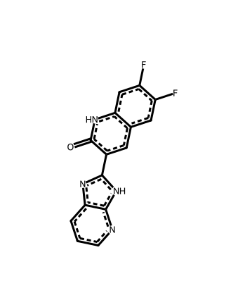 O=c1[nH]c2cc(F)c(F)cc2cc1-c1nc2cccnc2[nH]1